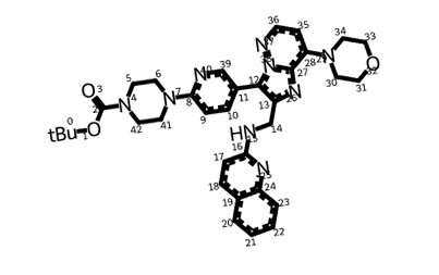 CC(C)(C)OC(=O)N1CCN(c2ccc(-c3c(CNc4ccc5ccccc5n4)nc4c(N5CCOCC5)ccnn34)cn2)CC1